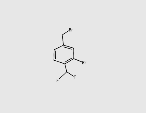 FC(F)c1ccc(CBr)cc1Br